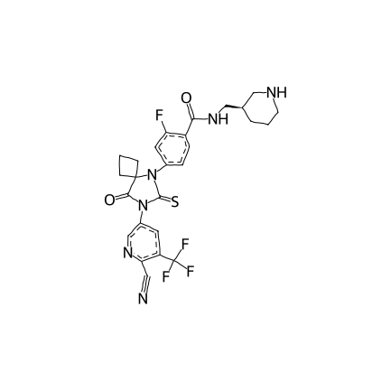 N#Cc1ncc(N2C(=O)C3(CCC3)N(c3ccc(C(=O)NC[C@@H]4CCCNC4)c(F)c3)C2=S)cc1C(F)(F)F